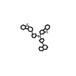 c1cc(-c2ccc3sc4ccccc4c3c2)cc(N(c2ccc(-c3cccc4ccccc34)cc2)c2ccc3c(c2)sc2ccccc23)c1